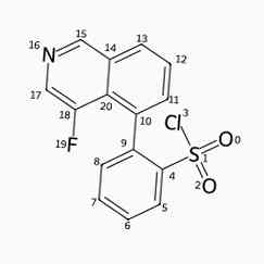 O=S(=O)(Cl)c1ccccc1-c1cccc2cncc(F)c12